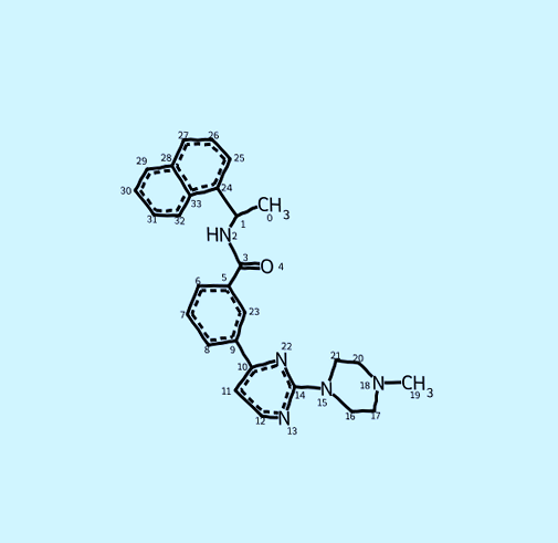 CC(NC(=O)c1cccc(-c2ccnc(N3CCN(C)CC3)n2)c1)c1cccc2ccccc12